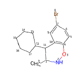 O=CC1NOc2ccc(Br)cc2C1C1CCCCC1